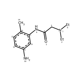 CCN(CC)CC(=O)Nc1cc(N)ccc1C